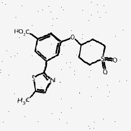 Cc1cnc(-c2cc(OC3CCS(=O)(=O)CC3)cc(C(=O)O)c2)s1